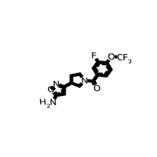 Nc1cc(C2CCN(C(=O)c3ccc(OC(F)(F)F)c(F)c3)C2)no1